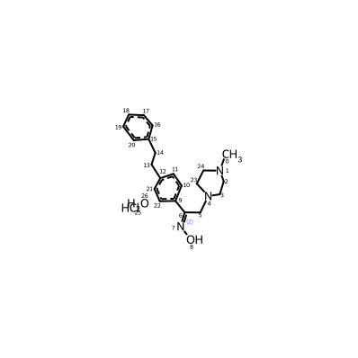 CN1CCN(C/C(=N\O)c2ccc(CCc3ccccc3)cc2)CC1.Cl.O